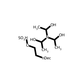 CC(O)N(C(C)O)C(C)O.CCCCCCCCCCCCOS(=O)(=O)O